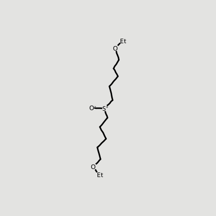 CCOCCCCC[S+]([O-])CCCCCOCC